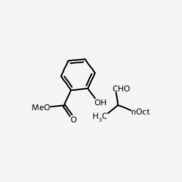 CCCCCCCCC(C)C=O.COC(=O)c1ccccc1O